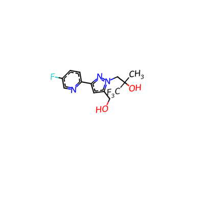 CC(O)(Cn1nc(-c2ccc(F)cn2)cc1CO)C(F)(F)F